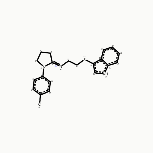 Clc1ccc(N2CCC/C2=N\CCSc2c[nH]c3ccccc23)cc1